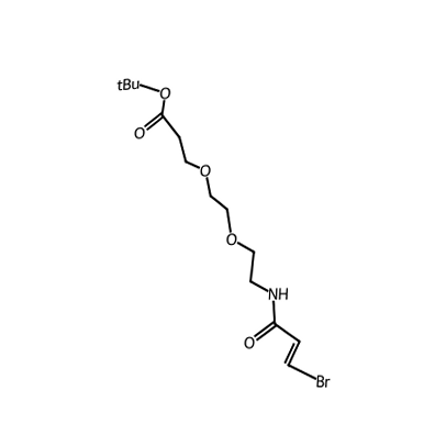 CC(C)(C)OC(=O)CCOCCOCCNC(=O)C=CBr